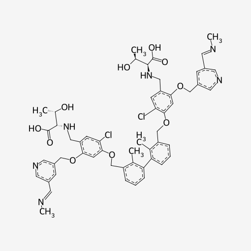 C/N=C/c1cncc(COc2cc(OCc3cccc(-c4cccc(COc5cc(OCc6cncc(/C=N/C)c6)c(CN[C@H](C(=O)O)[C@H](C)O)cc5Cl)c4C)c3C)c(Cl)cc2CN[C@H](C(=O)O)[C@H](C)O)c1